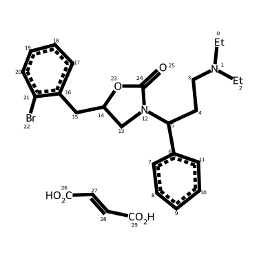 CCN(CC)CCC(c1ccccc1)N1CC(Cc2ccccc2Br)OC1=O.O=C(O)C=CC(=O)O